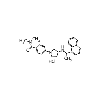 C[C@@H](N[C@H]1CCN(c2ccc(C(=O)N(C)C)cc2)C1)c1cccc2ccccc12.Cl